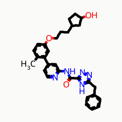 Cc1ccc(OCCCC2CCC(O)C2)cc1-c1ccnc(NC(=O)c2nnc(Cc3ccccc3)[nH]2)c1